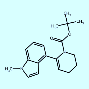 Cn1ccc2c(C3=CCCCN3C(=O)OC(C)(C)C)cccc21